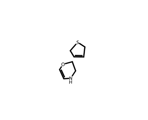 C1=CCSC1.C1=COCCN1